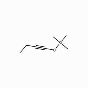 CCC#CO[Si](C)(C)C